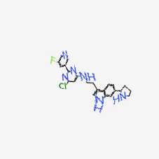 Fc1cncc(-c2nc(Cl)cc(NCCc3c[nH]c4cc(C5CCCN5)ccc34)n2)c1